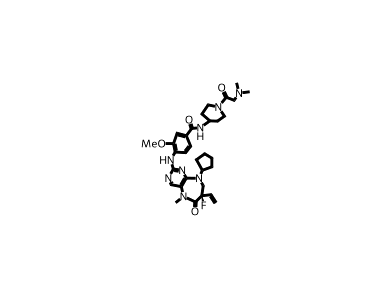 C=C[C@@]1(F)CN(C2CCCC2)c2nc(Nc3ccc(C(=O)NC4CCN(C(=O)CN(C)C)CC4)cc3OC)ncc2N(C)C1=O